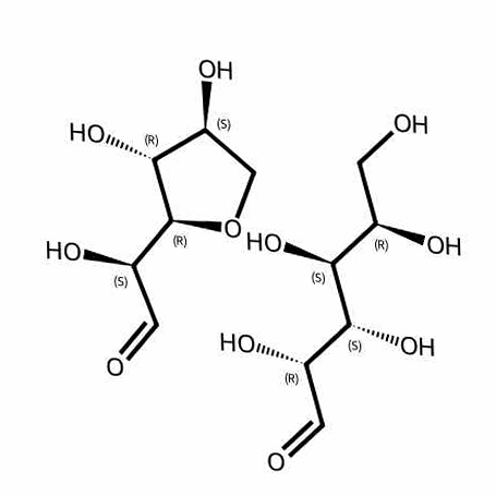 O=C[C@@H](O)[C@@H]1OC[C@H](O)[C@H]1O.O=C[C@H](O)[C@@H](O)[C@@H](O)[C@H](O)CO